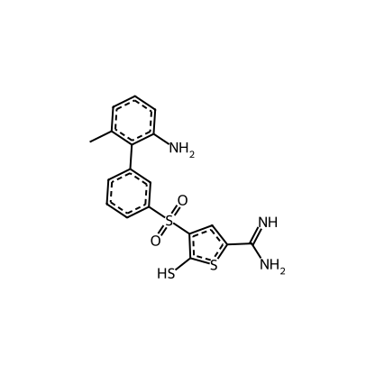 Cc1cccc(N)c1-c1cccc(S(=O)(=O)c2cc(C(=N)N)sc2S)c1